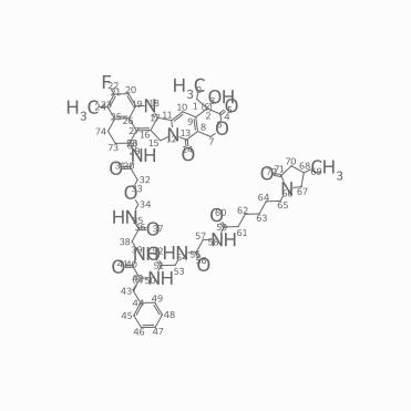 CC[C@@]1(O)C(=O)OCc2c1cc1n(c2=O)Cc2c-1nc1cc(F)c(C)c3c1c2[C@@H](NC(=O)COCNC(=O)CNC(=O)[C@H](Cc1ccccc1)NC(=O)CNC(=O)CNC(=O)CCCCCN1CC(C)CC1=O)CC3